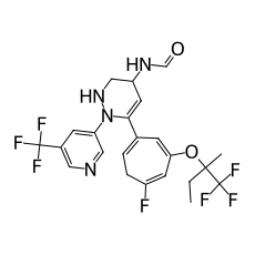 CCC(C)(OC1=CC(C2=CC(NC=O)CNN2c2cncc(C(F)(F)F)c2)=CCC(F)=C1)C(F)(F)F